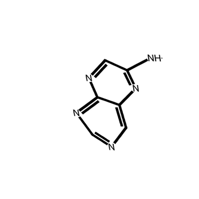 [NH]c1cnc2ncncc2n1